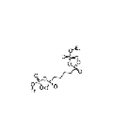 CCOS(=O)(=O)OS(=O)(=O)CCCCS(=O)(=O)OS(=O)(=O)OCC